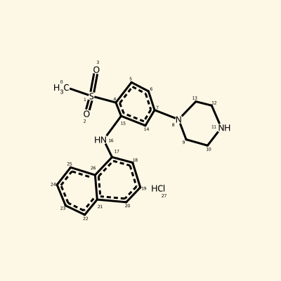 CS(=O)(=O)c1ccc(N2CCNCC2)cc1Nc1cccc2ccccc12.Cl